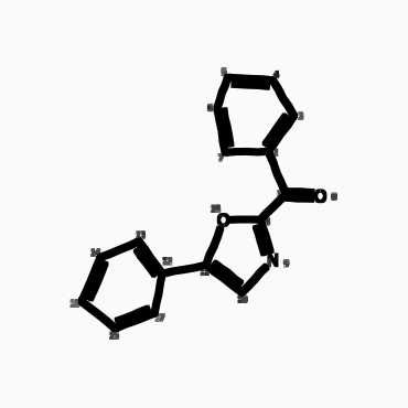 O=C(c1ccccc1)c1ncc(-c2ccccc2)o1